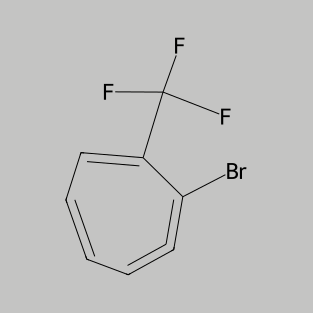 FC(F)(F)C1=CC=CC=C=C1Br